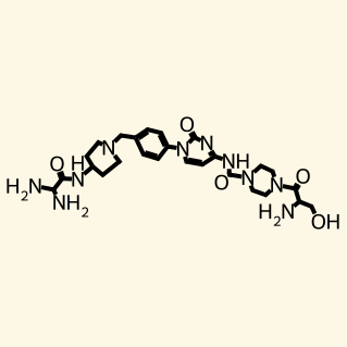 NC(N)C(=O)NC1CCN(Cc2ccc(-n3ccc(NC(=O)N4CCN(C(=O)C(N)CO)CC4)nc3=O)cc2)CC1